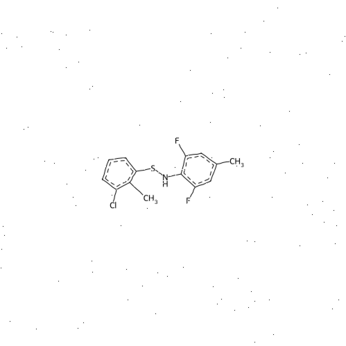 Cc1cc(F)c(NSc2cccc(Cl)c2C)c(F)c1